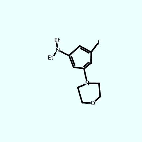 CCN(CC)c1cc(I)cc(N2CCOCC2)c1